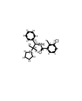 Cc1c(Cl)cccc1C(=O)NC(c1ccccc1)C(C)(C)N1CCCC1